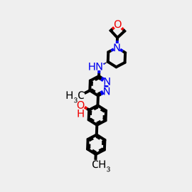 Cc1ccc(-c2ccc(-c3nnc(N[C@H]4CCCN(C5COC5)C4)cc3C)c(O)c2)cc1